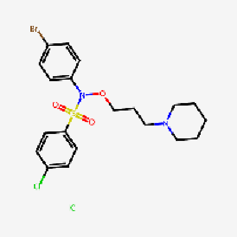 Cl.O=S(=O)(c1ccc(Cl)cc1)N(OCCCN1CCCCC1)c1ccc(Br)cc1